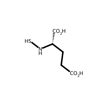 O=C(O)CC[C@H](NS)C(=O)O